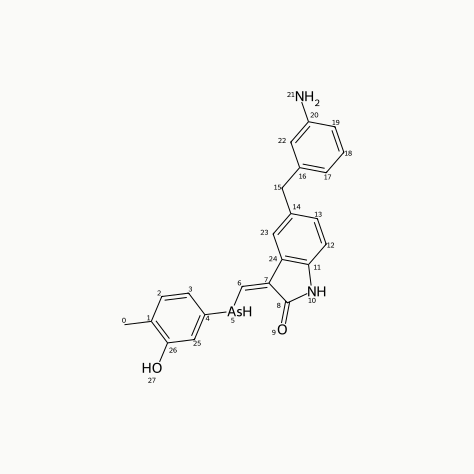 Cc1ccc([AsH]C=C2C(=O)Nc3ccc(Cc4cccc(N)c4)cc32)cc1O